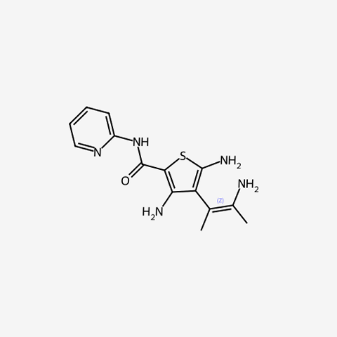 C/C(N)=C(\C)c1c(N)sc(C(=O)Nc2ccccn2)c1N